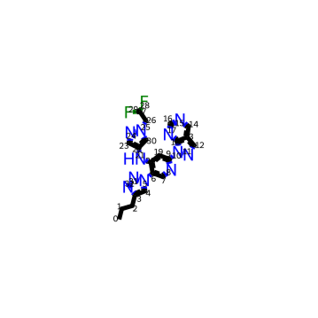 CCCc1cn(-c2cnc(-n3ncc4cncnc43)cc2Nc2cnn(CC(F)F)c2)nn1